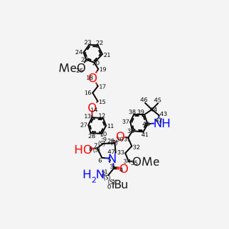 CC[C@H](C)[C@H](N)C(=O)N1C[C@@H](O)[C@H](c2ccc(OCCCOCc3ccccc3OC)cc2)[C@@H](OC(CCCOC)c2ccc3c(c2)NCC3(C)C)C1